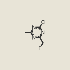 Cc1nc(Cl)nc(CF)n1